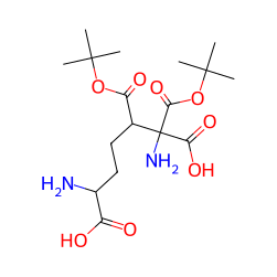 CC(C)(C)OC(=O)C(CCC(N)C(=O)O)C(N)(C(=O)O)C(=O)OC(C)(C)C